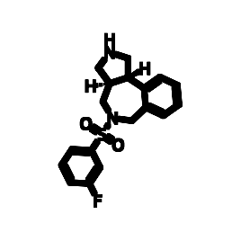 O=S(=O)(c1cccc(F)c1)N1Cc2ccccc2[C@H]2CNC[C@@H]2C1